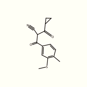 CSc1cc(C(=O)C(C#N)C(=O)C2CC2)ccc1C